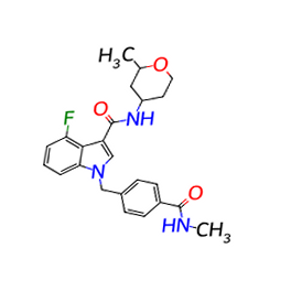 CNC(=O)c1ccc(Cn2cc(C(=O)NC3CCOC(C)C3)c3c(F)cccc32)cc1